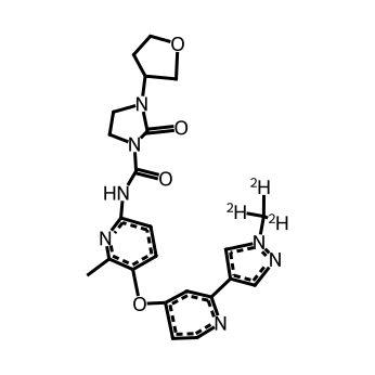 [2H]C([2H])([2H])n1cc(-c2cc(Oc3ccc(NC(=O)N4CCN(C5CCOC5)C4=O)nc3C)ccn2)cn1